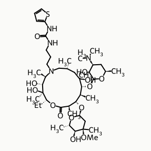 CC[C@H]1OC(=O)[C@H](C)[C@@H](O[C@H]2C[C@@](C)(OC)[C@@H](O)[C@H](C)O2)[C@H](C)[C@@H](O[C@@H]2O[C@H](C)C[C@H](N(C)C)[C@H]2O)[C@](C)(O)C[C@@H](C)CN(CCCNC(=O)Nc2cccs2)[C@H](C)[C@@H](O)[C@]1(C)O